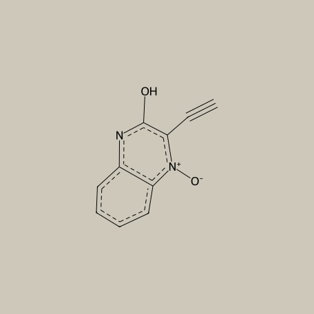 C#Cc1c(O)nc2ccccc2[n+]1[O-]